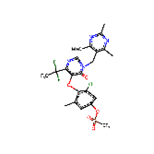 COc1nc(C)nc(C)c1Cn1cnc(C(F)(F)C(F)(F)F)c(Oc2c(C)cc(OS(=O)(=O)C(F)(F)F)cc2Cl)c1=O